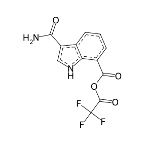 NC(=O)c1c[nH]c2c(C(=O)OC(=O)C(F)(F)F)cccc12